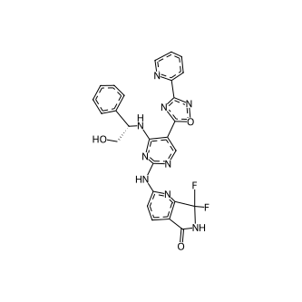 O=C1NC(F)(F)c2nc(Nc3ncc(-c4nc(-c5ccccn5)no4)c(N[C@H](CO)c4ccccc4)n3)ccc21